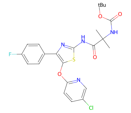 CC(C)(C)OC(=O)NC(C)(C)C(=O)Nc1nc(-c2ccc(F)cc2)c(Oc2ccc(Cl)cn2)s1